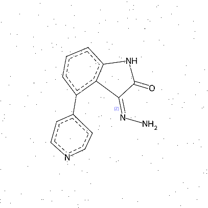 N/N=C1\C(=O)Nc2cccc(-c3ccncc3)c21